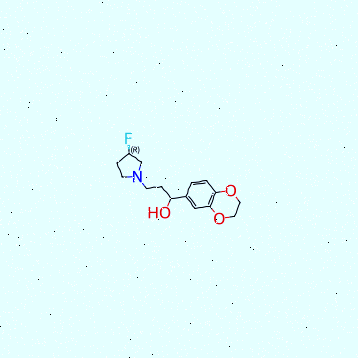 OC(CCN1CC[C@@H](F)C1)c1ccc2c(c1)OCCO2